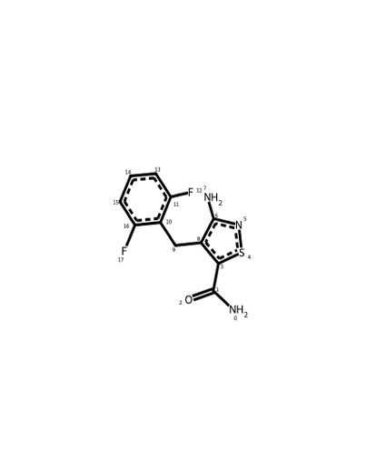 NC(=O)c1snc(N)c1Cc1c(F)cccc1F